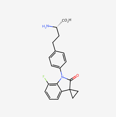 N[C@@H](CCc1ccc(N2C(=O)C3(CC3)c3cccc(F)c32)cc1)C(=O)O